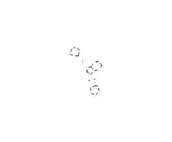 Nc1c(S(=O)(=O)c2ccccc2)c2nccnc2n1CCc1ccccc1